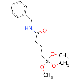 CO[Si](CCCC(=O)NCc1ccccc1)(OC)OC